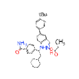 CC(C)(C)c1ccc(-c2ccc3c(cnn3C(CC3CCCCC3)c3ccc(C(N)=O)cc3)c2)cc1.CCC(=O)O